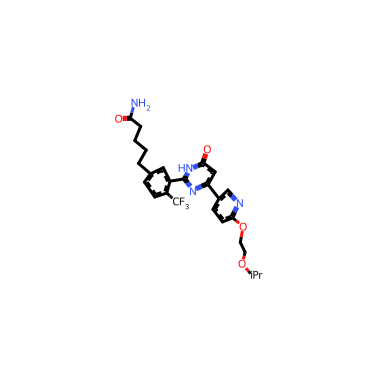 CC(C)OCCOc1ccc(-c2cc(=O)[nH]c(-c3cc(CCCCC(N)=O)ccc3C(F)(F)F)n2)cn1